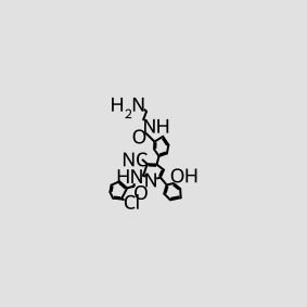 N#Cc1c(-c2cccc(C(=O)NCCN)c2)cc(-c2ccccc2O)nc1NC(=O)c1ccccc1Cl